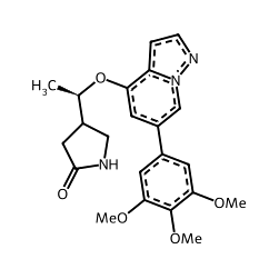 COc1cc(-c2cc(O[C@H](C)C3CNC(=O)C3)c3ccnn3c2)cc(OC)c1OC